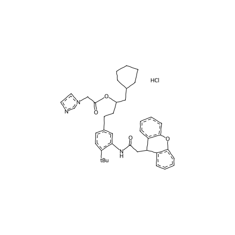 CC(C)(C)c1ccc(CCC(CC2CCCCC2)OC(=O)Cn2ccnc2)cc1NC(=O)CC1c2ccccc2Oc2ccccc21.Cl